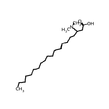 CCCCCCCCCCCCCCCCCC(CC(=O)O)N(C)C